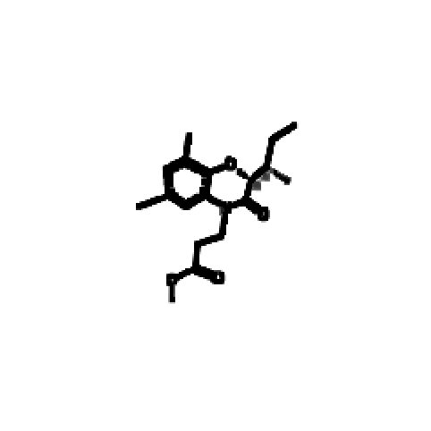 CC[C@H](C)[C@H]1Oc2c(C)cc(C)cc2N(CCC(=O)OC)C1=O